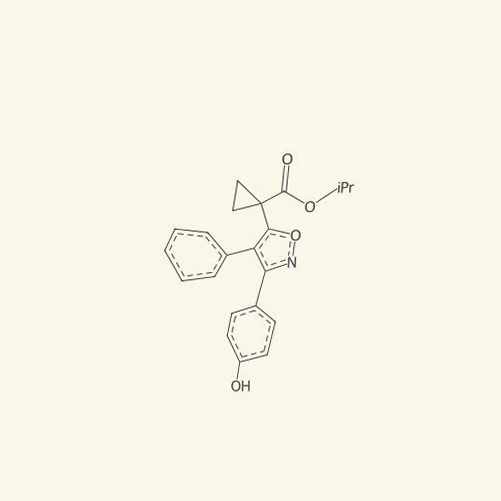 CC(C)OC(=O)C1(c2onc(-c3ccc(O)cc3)c2-c2ccccc2)CC1